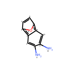 Nc1cc2c3ccc(o3)c2cc1N